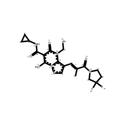 C/C(=C\c1cnn2c(O)c(C(=O)NC3CC3)c(=O)n(CC(C)C)c12)C(=O)N1CCC(F)(F)C1